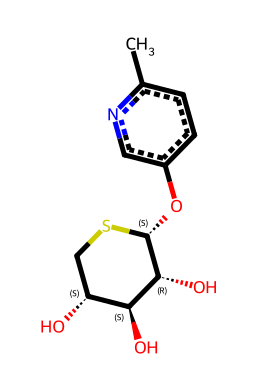 Cc1ccc(O[C@H]2SC[C@@H](O)[C@H](O)[C@H]2O)cn1